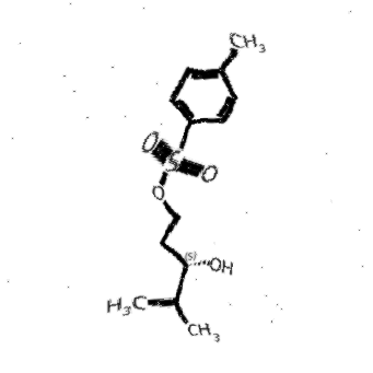 Cc1ccc(S(=O)(=O)OCC[C@H](O)C(C)C)cc1